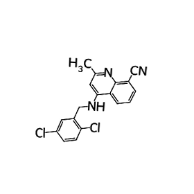 Cc1cc(NCc2cc(Cl)ccc2Cl)c2cccc(C#N)c2n1